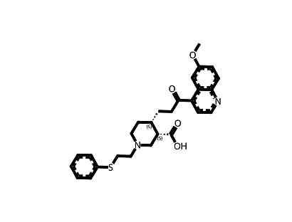 COc1ccc2nccc(C(=O)CC[C@H]3CCN(CCSc4ccccc4)C[C@H]3C(=O)O)c2c1